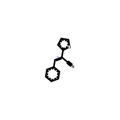 N#C/C(=C\c1ccccc1)c1ccco1